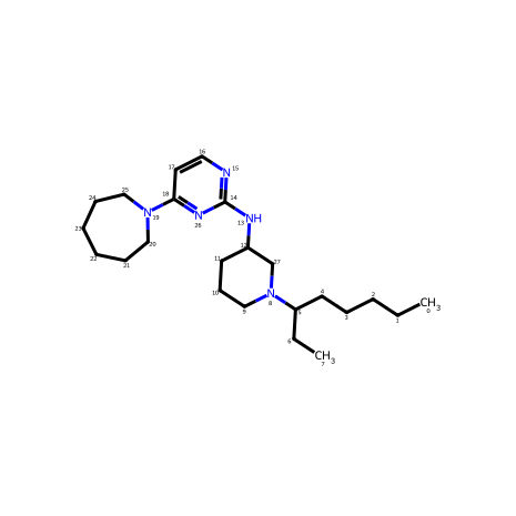 CCCCCC(CC)N1CCCC(Nc2nccc(N3CCCCCC3)n2)C1